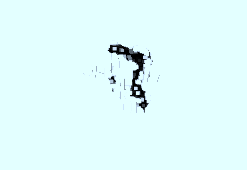 N#Cc1cc(OC2CCNC2)cc2c1CC(CNCCC1CN(c3ccc4c(n3)NC(=O)CO4)C(=O)O1)C2.O=CO